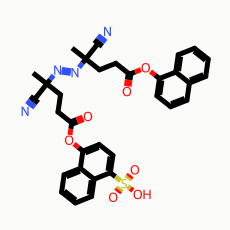 CC(C#N)(CCC(=O)Oc1cccc2ccccc12)N=NC(C)(C#N)CCC(=O)Oc1ccc(S(=O)(=O)O)c2ccccc12